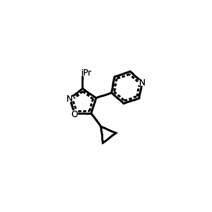 CC(C)c1noc(C2CC2)c1-c1ccncc1